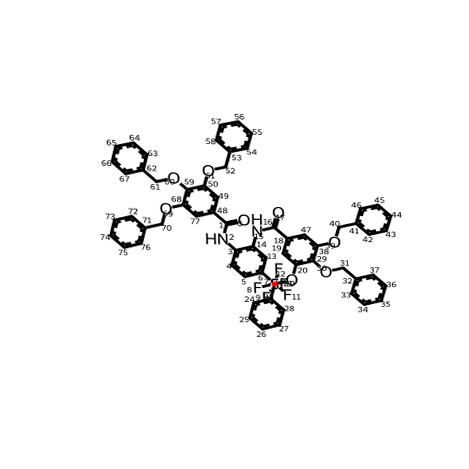 O=C(Nc1ccc(S(F)(F)(F)(F)F)cc1NC(=O)c1cc(OCc2ccccc2)c(OCc2ccccc2)c(OCc2ccccc2)c1)c1cc(OCc2ccccc2)c(OCc2ccccc2)c(OCc2ccccc2)c1